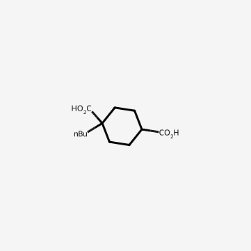 CCCCC1(C(=O)O)CCC(C(=O)O)CC1